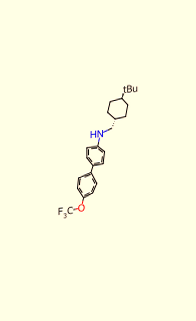 CC(C)(C)[C@H]1CC[C@H](CNc2ccc(-c3ccc(OC(F)(F)F)cc3)cc2)CC1